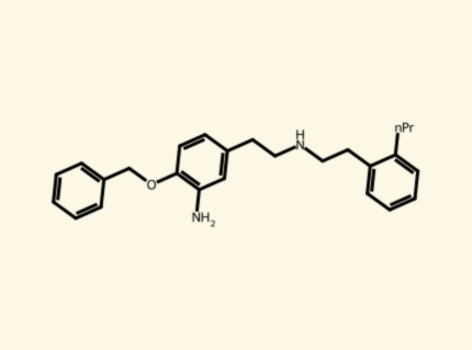 CCCc1ccccc1CCNCCc1ccc(OCc2ccccc2)c(N)c1